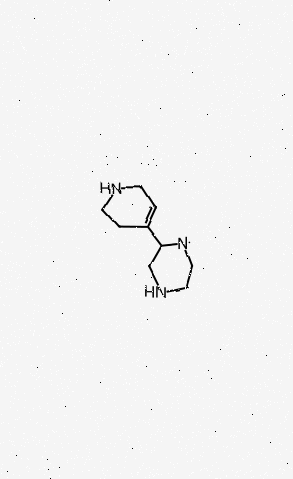 C1=C(C2CNCC[N]2)CCNC1